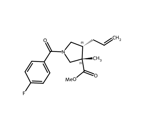 C=CC[C@H]1CN(C(=O)c2ccc(F)cc2)C[C@@]1(C)C(=O)OC